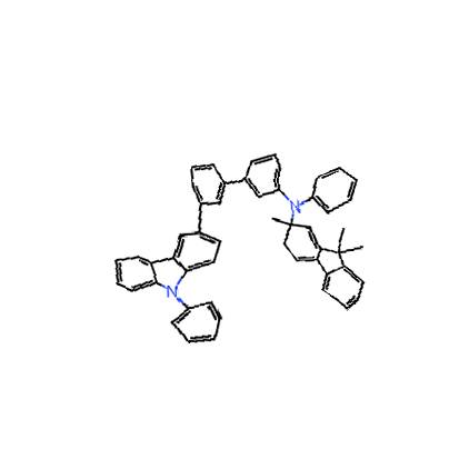 CC1(C)C2=CC(C)(N(c3ccccc3)c3cccc(-c4cccc(-c5ccc6c(c5)c5ccccc5n6-c5ccccc5)c4)c3)CC=C2c2ccccc21